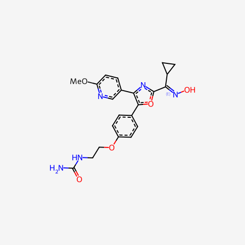 COc1ccc(-c2nc(/C(=N/O)C3CC3)oc2-c2ccc(OCCNC(N)=O)cc2)cn1